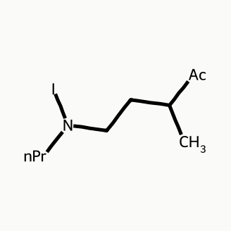 CCCN(I)CCC(C)C(C)=O